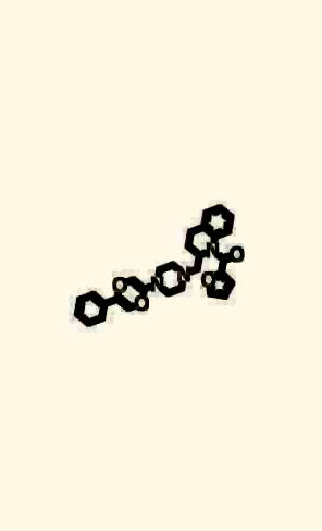 O=C(c1ccco1)N1c2ccccc2CCC1CN1CCN(C2=COC(C3=CC=CCC3)=CO2)CC1